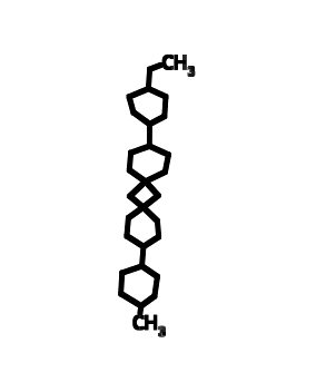 CCC1CCC(C2CCC3(CC2)CC2(CCC(C4CCC(C)CC4)CC2)C3)CC1